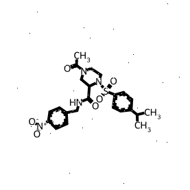 CC(=O)N1CCN(S(=O)(=O)c2ccc(C(C)C)cc2)C(C(=O)NCc2ccc([N+](=O)[O-])cc2)C1